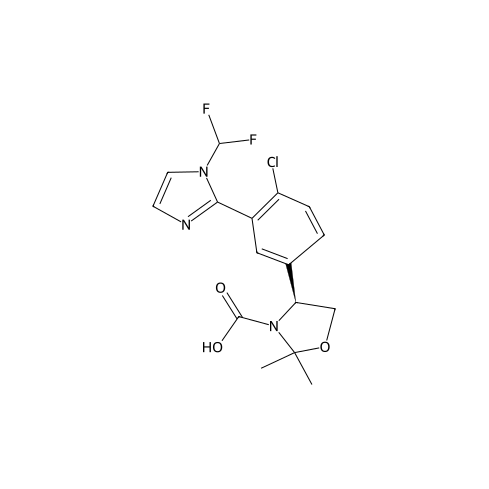 CC1(C)OC[C@H](c2ccc(Cl)c(-c3nccn3C(F)F)c2)N1C(=O)O